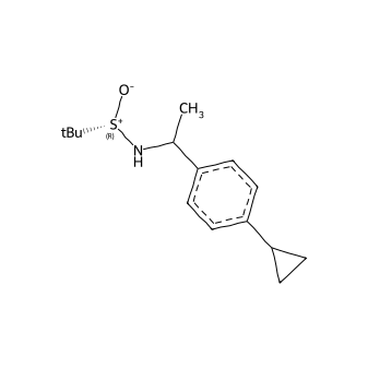 CC(N[S@@+]([O-])C(C)(C)C)c1ccc(C2CC2)cc1